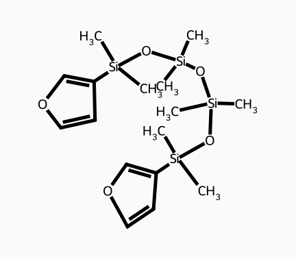 C[Si](C)(O[Si](C)(C)O[Si](C)(C)c1ccoc1)O[Si](C)(C)c1ccoc1